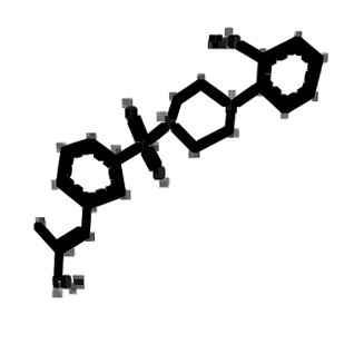 COc1ccccc1N1CCN(S(=O)(=O)c2cccc(C=C(C)C(=O)O)c2)CC1